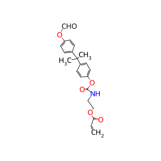 C=CC(=O)OCCNC(=O)Oc1ccc(C(C)(C)c2ccc(OC=O)cc2)cc1